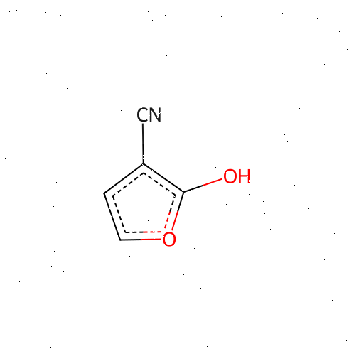 N#Cc1ccoc1O